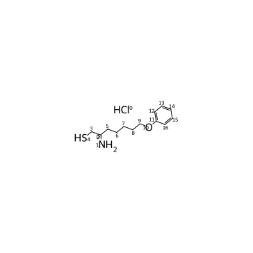 Cl.N[C@H](CS)CCCCCOc1ccccc1